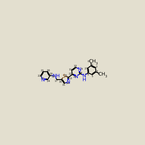 Cc1cc(C)cc(Nc2nccc(-c3ncc(CNc4cccnc4)s3)n2)c1